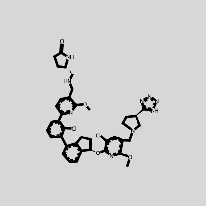 COc1nc(-c2cccc(-c3cccc4c3CC[C@@H]4Oc3nc(OC)c(CN4CC[C@@H](c5nnn[nH]5)C4)cc3Cl)c2Cl)ccc1CNC[C@@H]1CCC(=O)N1